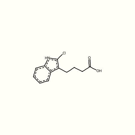 O=C(O)CCCc1c(Cl)[nH]c2ccccc12